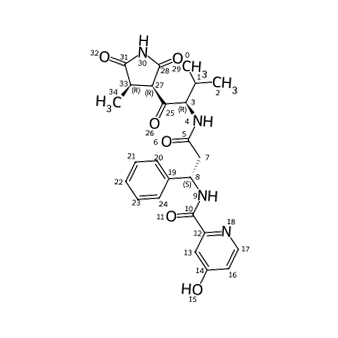 CC(C)[C@@H](NC(=O)C[C@H](NC(=O)c1cc(O)ccn1)c1ccccc1)C(=O)[C@@H]1C(=O)NC(=O)[C@@H]1C